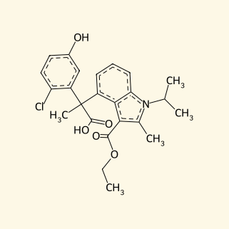 CCOC(=O)c1c(C)n(C(C)C)c2cccc(C(C)(C(=O)O)c3cc(O)ccc3Cl)c12